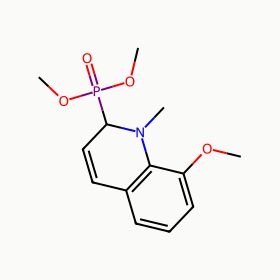 COc1cccc2c1N(C)C(P(=O)(OC)OC)C=C2